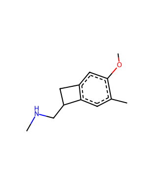 CNCC1Cc2cc(OC)c(C)cc21